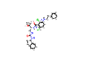 COC(=O)[C@H](CNC(=O)NC1CCc2ccccc21)NC(=O)c1c(Cl)ccc(NCCc2ccccc2)c1Cl